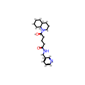 O=C(CCCC(=O)N1CCCC2CCCCC21)NCc1cccnc1